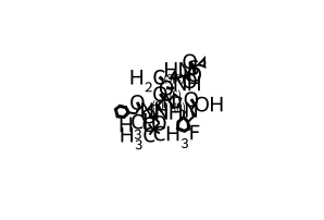 C=C[C@@H]1C[C@]1(NC(=O)[C@@H]1C[C@@H](C2c3cccc(F)c3CN2C(=O)O)CN1C(=O)[C@H](CNC(=O)C(Cl)c1ccccc1)NC(=O)OC(C)(C)C)C(=O)NS(=O)(=O)C1CC1